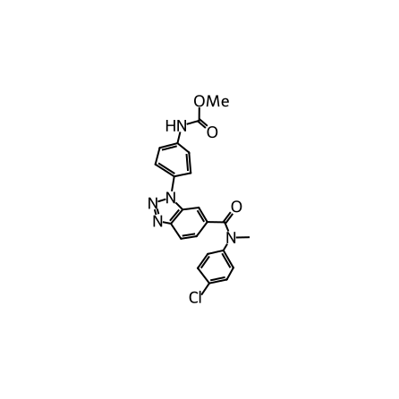 COC(=O)Nc1ccc(-n2nnc3ccc(C(=O)N(C)c4ccc(Cl)cc4)cc32)cc1